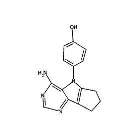 Nc1ncnc2c3c(n(-c4ccc(O)cc4)c12)CCC3